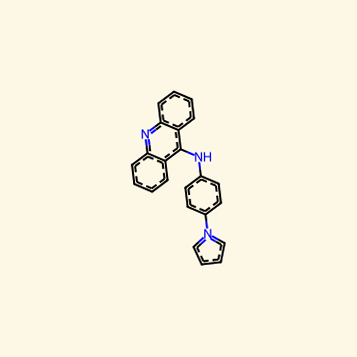 c1ccc2c(Nc3ccc(-n4cccc4)cc3)c3ccccc3nc2c1